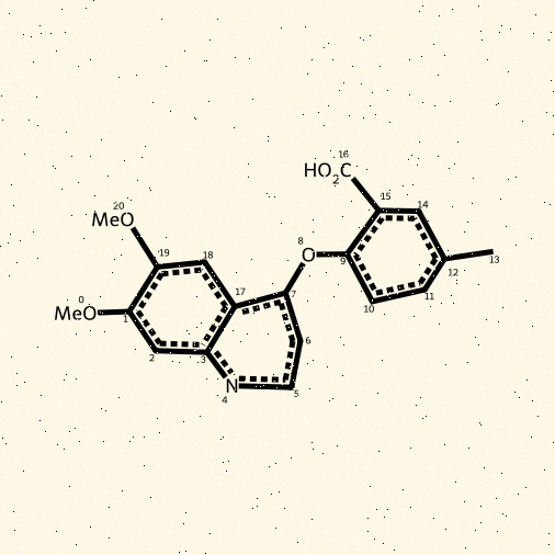 COc1cc2nccc(Oc3ccc(C)cc3C(=O)O)c2cc1OC